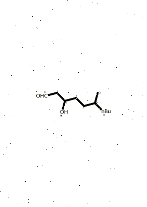 CCCCC(C)CCC(O)CC=O